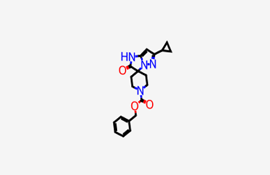 O=C(OCc1ccccc1)N1CCC2(CC1)C(=O)Nc1cc(C3CC3)nn12